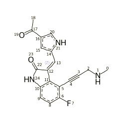 CNCC#Cc1c(F)ccc2c1/C(=C/c1cc(C(C)=O)c[nH]1)C(=O)N2